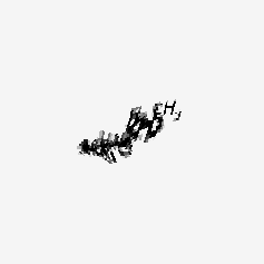 CCc1ccccc1-c1cc(F)cc(C(=O)NCCC(=O)OCC2CC2)c1